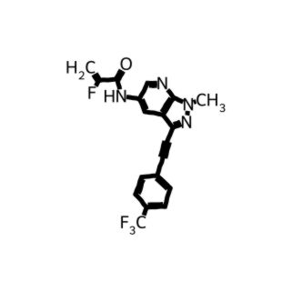 C=C(F)C(=O)Nc1cnc2c(c1)c(C#Cc1ccc(C(F)(F)F)cc1)nn2C